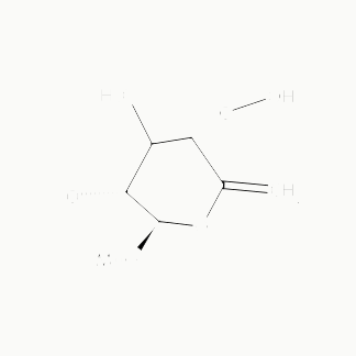 C=C1O[C@@H](OC)[C@H](O)C(C)[C@@H]1CO